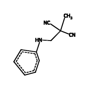 CC(C#N)(C#N)CNc1ccccc1